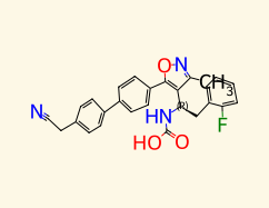 Cc1noc(-c2ccc(-c3ccc(CC#N)cc3)cc2)c1[C@@H](Cc1ccccc1F)NC(=O)O